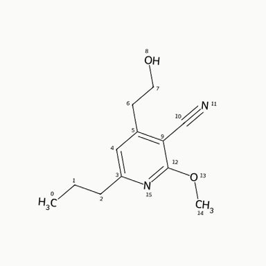 CCCc1cc(CCO)c(C#N)c(OC)n1